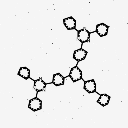 c1ccc(-c2ccc(-c3cc(-c4ccc(-c5nc(-c6ccccc6)nc(-c6ccccc6)n5)cc4)cc(-c4ccc(-c5nc(-c6ccccc6)nc(-c6ccccc6)n5)cc4)c3)cc2)cc1